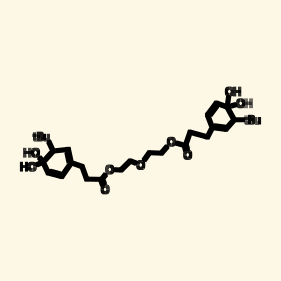 CC(C)(C)C1C=C(CCC(=O)OCCOCCOC(=O)CCC2=CC(C(C)(C)C)C(O)(O)C=C2)C=CC1(O)O